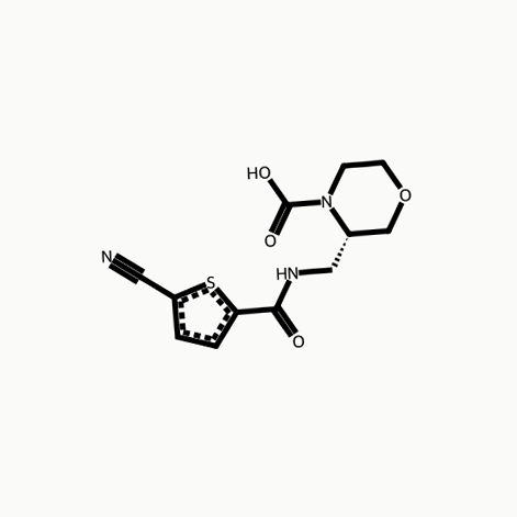 N#Cc1ccc(C(=O)NC[C@H]2COCCN2C(=O)O)s1